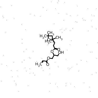 C=CC(=O)OCC(CO)OC(=O)CCC(C)(C)CC(C)(C)C